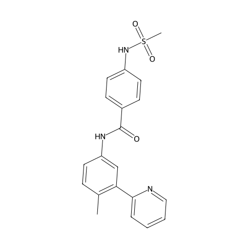 Cc1ccc(NC(=O)c2ccc(NS(C)(=O)=O)cc2)cc1-c1ccccn1